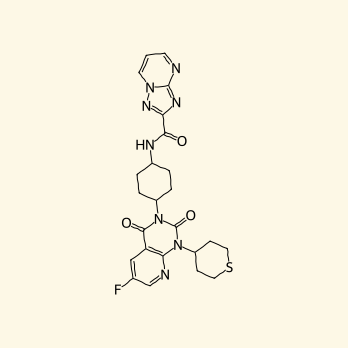 O=C(NC1CCC(n2c(=O)c3cc(F)cnc3n(C3CCSCC3)c2=O)CC1)c1nc2ncccn2n1